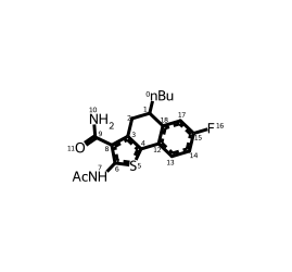 CCCCC1Cc2c(sc(NC(C)=O)c2C(N)=O)-c2ccc(F)cc21